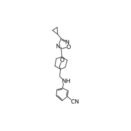 N#Cc1cccc(NCC23CCC(c4nc(C5CC5)no4)(CC2)OC3)c1